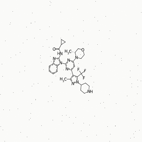 Cc1nn(C2CCNCC2)c(C(F)(F)F)c1-c1cc(N2CCOC[C@H]2C)nc(-n2c(NC(=O)C3CC3)nc3ccccc32)n1